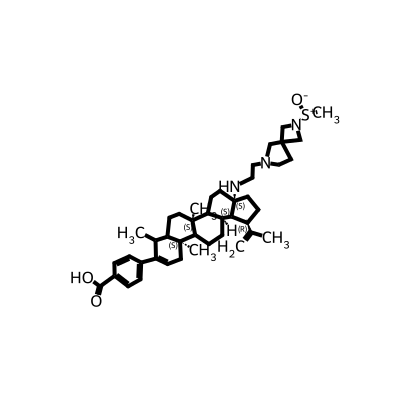 C=C(C)[C@@H]1CC[C@]2(NCCN3CCC4(C3)CN([S+](C)[O-])C4)CCC3[C@H](CCC4[C@@]5(C)CC=C(c6ccc(C(=O)O)cc6)C(C)C5CC[C@@]34C)C12